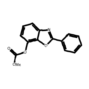 COC(=O)Oc1cccc2nc(-c3ccccc3)oc12